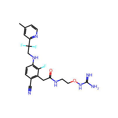 Cc1ccnc(C(F)(F)CNc2ccc(C#N)c(CC(=O)NCCONC(=N)N)c2F)c1